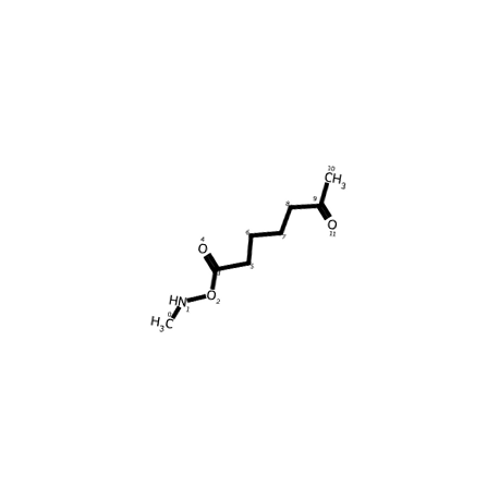 CNOC(=O)CCCCC(C)=O